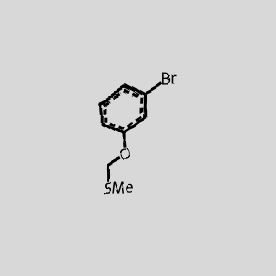 CSCOc1cccc(Br)c1